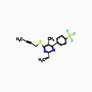 C=Cc1nc(SCC#CC)c(C)c(-c2ccc(S(F)(F)F)cc2)n1